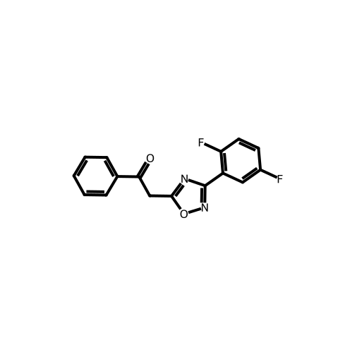 O=C(Cc1nc(-c2cc(F)ccc2F)no1)c1ccccc1